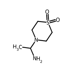 CC(N)N1CCS(=O)(=O)CC1